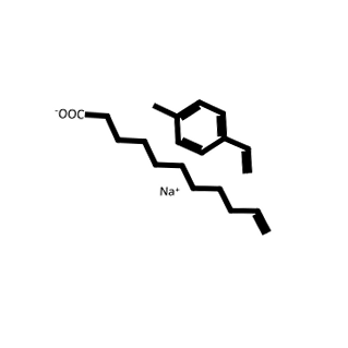 C=CCCCCCCCCC(=O)[O-].C=Cc1ccc(C)cc1.[Na+]